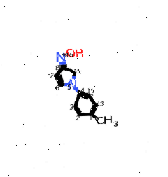 Cc1ccc(N2C=CC(=NO)C2)cc1